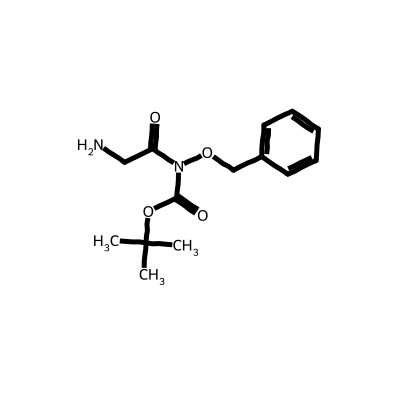 CC(C)(C)OC(=O)N(OCc1ccccc1)C(=O)CN